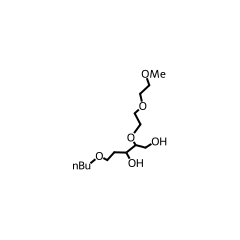 CCCCOCCC(O)C(CO)OCCOCCOC